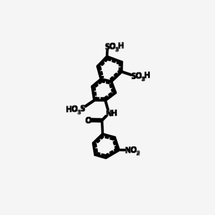 O=C(Nc1cc2c(S(=O)(=O)O)cc(S(=O)(=O)O)cc2cc1S(=O)(=O)O)c1cccc([N+](=O)[O-])c1